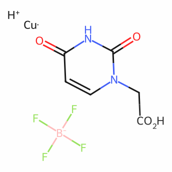 F[B-](F)(F)F.O=C(O)Cn1ccc(=O)[nH]c1=O.[Cu].[H+]